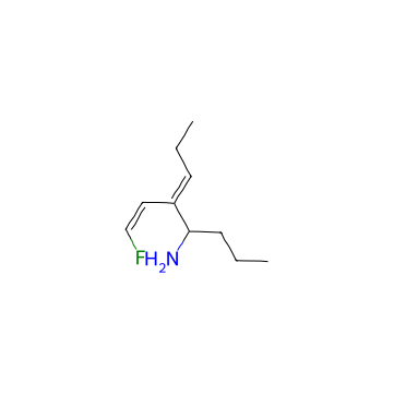 CC/C=C(\C=C/F)C(N)CCC